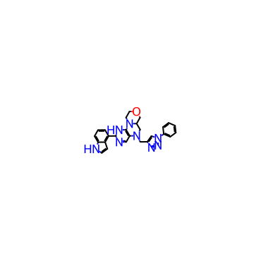 C1=NC(c2cccc3[nH]ccc23)NC2=C1N(Cc1cn(-c3ccccc3)nn1)CC1COCCN21